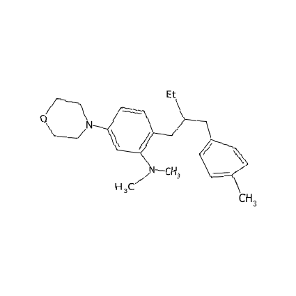 CCC(Cc1ccc(C)cc1)Cc1ccc(N2CCOCC2)cc1N(C)C